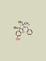 CC(C)(C)C1(c2ccc(O)cc2)SC(C)(C(C)(C)C)N(Cc2ccccc2)C1=O